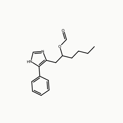 CCCCC(Cc1nc[nH]c1-c1ccccc1)OC=O